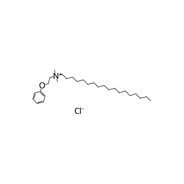 CCCCCCCCCCCCCCCCCC[N+](C)(C)CCOc1ccccc1.[Cl-]